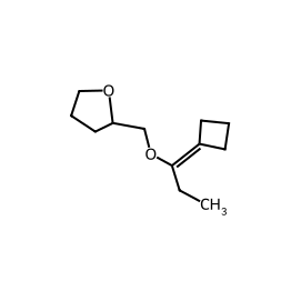 CCC(OCC1CCCO1)=C1CCC1